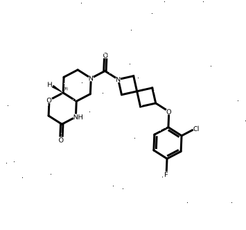 O=C1CO[C@@H]2CCN(C(=O)N3CC4(CC(Oc5ccc(F)cc5Cl)C4)C3)CC2N1